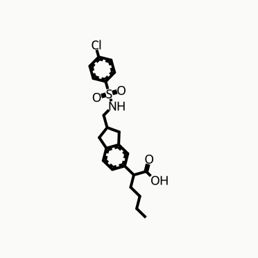 CCCCC(C(=O)O)c1ccc2c(c1)CC(CNS(=O)(=O)c1ccc(Cl)cc1)C2